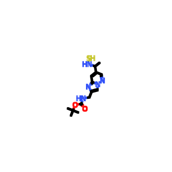 CC(NS)c1cnn2cc(CNC(=O)OC(C)(C)C)nc2c1